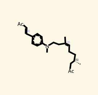 CC(=O)/C=C/c1ccc(N(C)CC/C(C)=C\CC[C@H](C)CC(C)=O)cc1